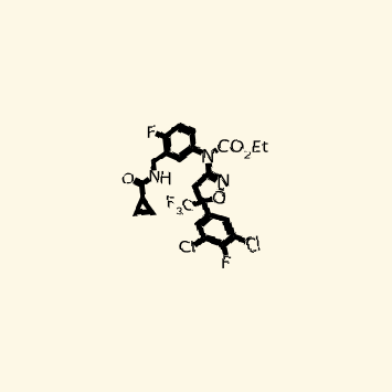 CCOC(=O)N(C1=NOC(c2cc(Cl)c(F)c(Cl)c2)(C(F)(F)F)C1)c1ccc(F)c(CNC(=O)C2CC2)c1